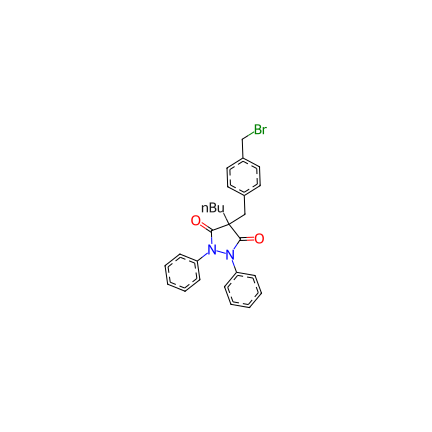 CCCCC1(Cc2ccc(CBr)cc2)C(=O)N(c2ccccc2)N(c2ccccc2)C1=O